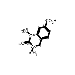 C[As](Cc1ccc(C(=O)O)cc1)C(=O)OC(C)(C)C